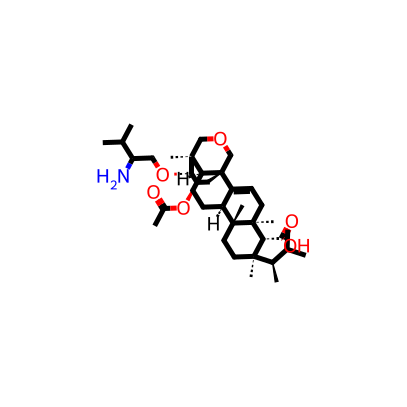 CC(=O)O[C@@H]1C[C@]23COC[C@@](C)([C@@H]2CC[C@H]2C3=CC[C@@]3(C)[C@H](C(=O)O)[C@@](C)([C@H](C)C(C)C)CC[C@]23C)[C@H]1OCC(N)C(C)C